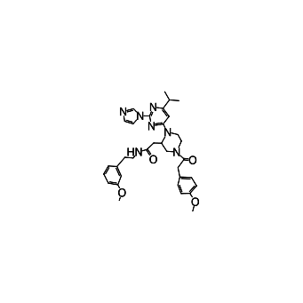 COc1ccc(CC(=O)N2CCN(c3cc(C(C)C)nc(-n4ccnc4)n3)C(CC(=O)NCCc3cccc(OC)c3)C2)cc1